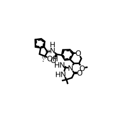 COC1COc2ccc(C(=O)N[C@@H]3c4ccccc4C[C@]3(C)O)cc2C1N1C(=N)NC(C)(C)CC1=O